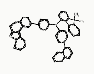 CC1(C)c2ccccc2-c2c(N(c3ccc(-c4ccc5ccc6oc7ccccc7c6c5c4)cc3)c3ccc(-c4cccc5ccccc45)cc3)cccc21